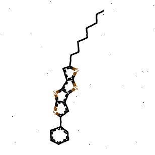 CCCCCCCCc1cc2c(s1)sc1c3cc(-c4ccccc4)sc3sc21